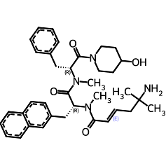 CN(C(=O)/C=C/CC(C)(C)N)[C@H](Cc1ccc2ccccc2c1)C(=O)N(C)[C@H](Cc1ccccc1)C(=O)N1CCC(O)CC1